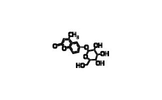 Cc1cc(=O)oc2ccc(O[C@@H]3OC(CO)[C@@H](O)C(O)C3O)cc12